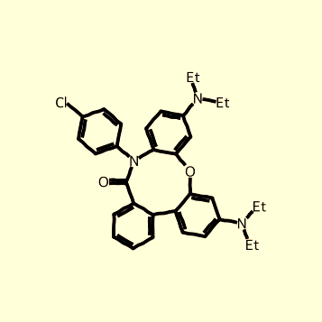 CCN(CC)c1ccc2c(c1)oc1cc(N(CC)CC)ccc1n(-c1ccc(Cl)cc1)c(=O)c1ccccc12